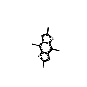 Cc1cc2c(C)c3sc(C)cc3c(C)c2s1